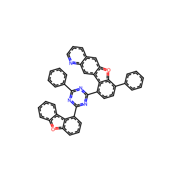 c1ccc(-c2nc(-c3cccc4oc5ccccc5c34)nc(-c3ccc(-c4ccccc4)c4oc5cc6cccnc6cc5c34)n2)cc1